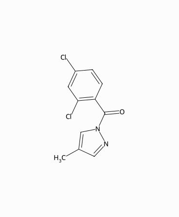 Cc1cnn(C(=O)c2ccc(Cl)cc2Cl)c1